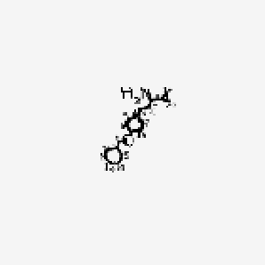 NC(CCc1ccc(OCC2CCCCC2)cc1)C1CC1